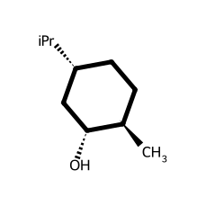 CC(C)[C@@H]1CC[C@@H](C)[C@H](O)C1